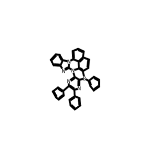 c1ccc(B2c3nc(-c4ccccc4)c(-c4ccccc4)nc3-n3c4c2ccc2cccc(c24)n2c4ccccc4nc32)cc1